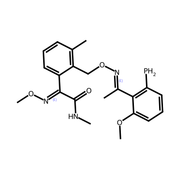 CNC(=O)/C(=N/OC)c1cccc(C)c1CO/N=C(\C)c1c(P)cccc1OC